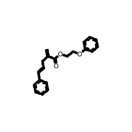 C=C(CC=Cc1ccccc1)C(=O)OCCOc1ccccc1